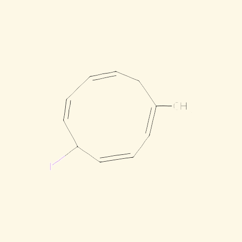 C/C1=C/C=C\C(I)/C=C\C=C/C1